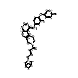 Cc1ccc(Oc2ccc(Nc3ncnc4sc5c(c34)CCN(C(=O)/C=C/CN3CC4CC(C4)C3)C5)cc2C)cn1